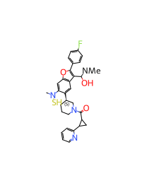 CNC(O)c1c(-c2ccc(F)cc2)oc2cc(N(C)S)c([C@@H]3CCCN(C(=O)C4CC4c4ccccn4)C3)cc12